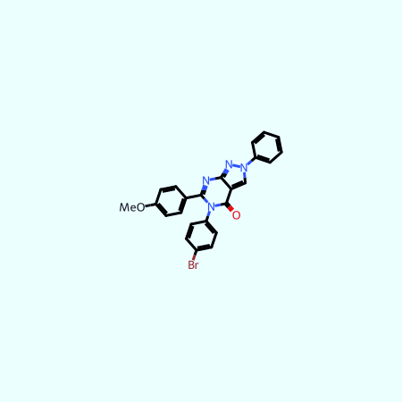 COc1ccc(-c2nc3nn(-c4ccccc4)cc3c(=O)n2-c2ccc(Br)cc2)cc1